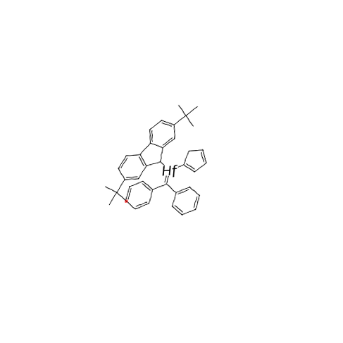 CC(C)(C)c1ccc2c(c1)[CH]([Hf]([C]1=CC=CC1)=[C](c1ccccc1)c1ccccc1)c1cc(C(C)(C)C)ccc1-2